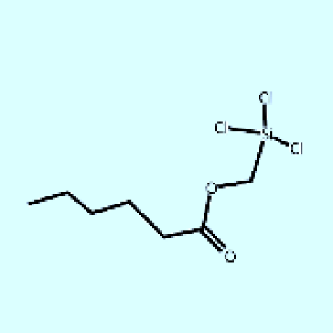 CCCCCC(=O)OC[Si](Cl)(Cl)Cl